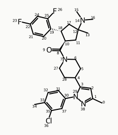 Cc1cc(C2CCN(C(=O)[C@@H]3CC(C)(N(C)C)C[C@H]3c3ccc(F)cc3F)CC2)n(-c2ccc(C)c(Cl)c2)n1